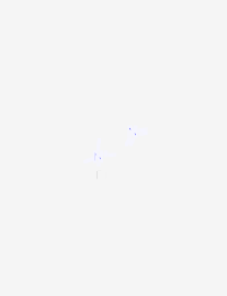 [CH2]C[N+]1(c2ccccn2)CCCCC1